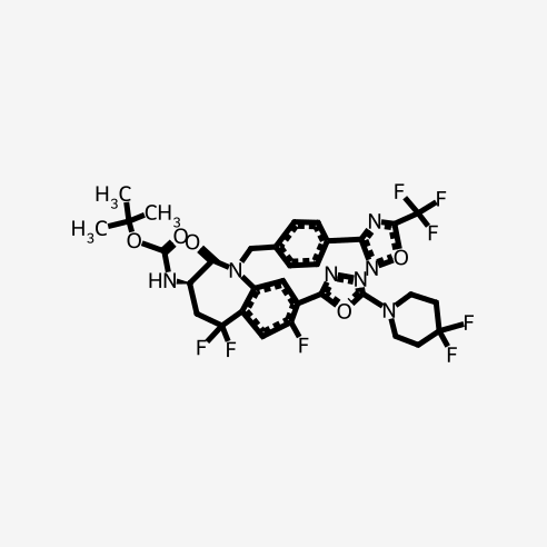 CC(C)(C)OC(=O)N[C@@H]1CC(F)(F)c2cc(F)c(-c3nnc(N4CCC(F)(F)CC4)o3)cc2N(Cc2ccc(-c3noc(C(F)(F)F)n3)cc2)C1=O